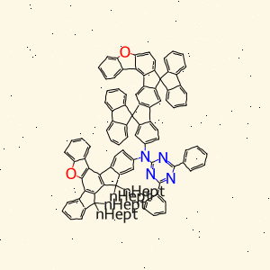 CCCCCCCC1(CCCCCCC)c2ccccc2-c2c1c1c(c3c2oc2ccccc23)-c2ccc(N(c3ccc4c(c3)C3(c5ccccc5-c5ccccc53)c3cc5c(cc3-4)C3(c4ccccc4-c4ccccc43)c3ccc4oc6ccccc6c4c3-5)c3nc(-c4ccccc4)nc(-c4ccccc4)n3)cc2C1(CCCCCCC)CCCCCCC